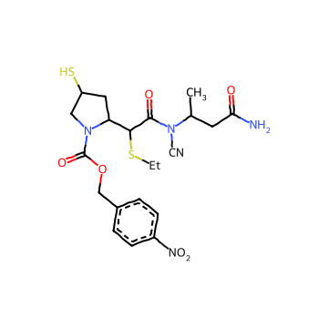 CCSC(C(=O)N(C#N)C(C)CC(N)=O)C1CC(S)CN1C(=O)OCc1ccc([N+](=O)[O-])cc1